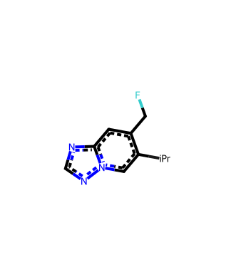 CC(C)c1cn2ncnc2cc1CF